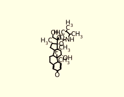 CC(C)C(C)NC(=O)O[C@@]1(C(=O)CO)[C@@H](C)CC2C3CCC4=CC(=O)C=C[C@]4(C)C3(F)[C@@H](O)C[C@@]21C